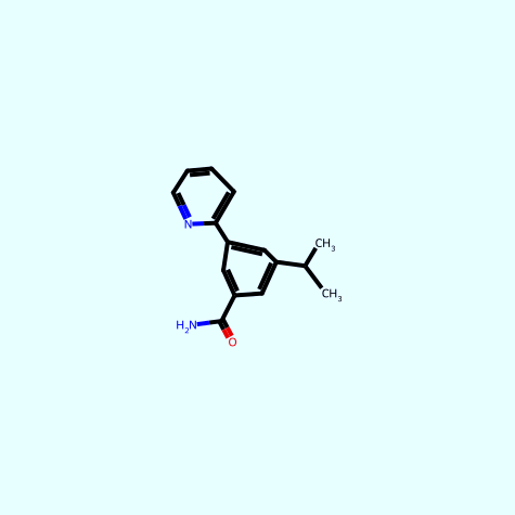 CC(C)c1cc(C(N)=O)cc(-c2ccccn2)c1